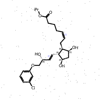 CC(C)OC(=O)CCC/C=C\C[C@@H]1[C@@H](/C=C/[C@@H](O)COc2cccc(Cl)c2)[C@H](O)C[C@@H]1O